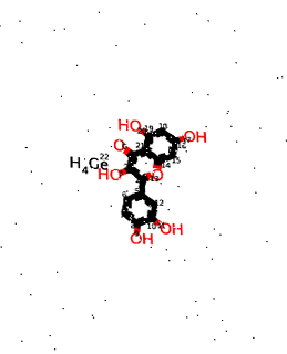 O=c1c(O)c(-c2ccc(O)c(O)c2)oc2cc(O)cc(O)c12.[GeH4]